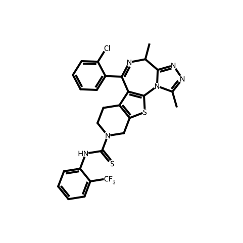 Cc1nnc2n1-c1sc3c(c1C(c1ccccc1Cl)=NC2C)CCN(C(=S)Nc1ccccc1C(F)(F)F)C3